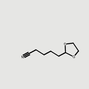 N#CCCCCC1OCCO1